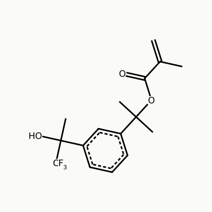 C=C(C)C(=O)OC(C)(C)c1cccc(C(C)(O)C(F)(F)F)c1